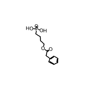 O=C(Cc1ccccc1)OCCCCP(=O)(O)O